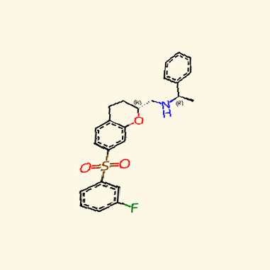 C[C@@H](NC[C@H]1CCc2ccc(S(=O)(=O)c3cccc(F)c3)cc2O1)c1ccccc1